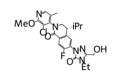 CCn1c(CO)nn(-c2cc3c(cc2F)C(=O)N(c2c(C)cnc(OC)c2Cl)C[C@@H]3C(C)C)c1=O